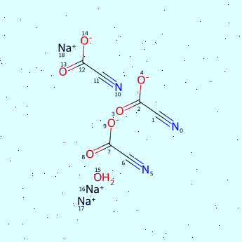 N#CC(=O)[O-].N#CC(=O)[O-].N#CC(=O)[O-].O.[Na+].[Na+].[Na+]